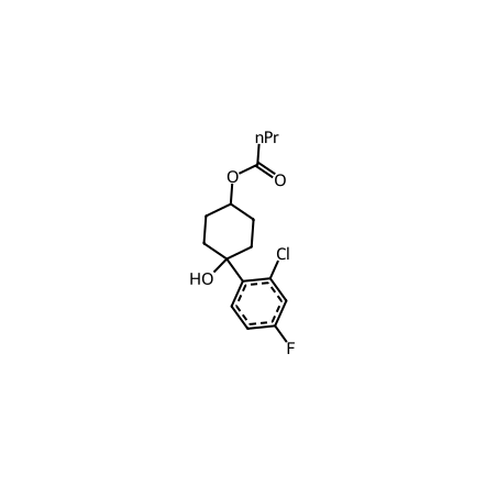 CCCC(=O)OC1CCC(O)(c2ccc(F)cc2Cl)CC1